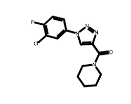 O=C(c1cn(-c2ccc(F)c(Cl)c2)nn1)N1CCCCC1